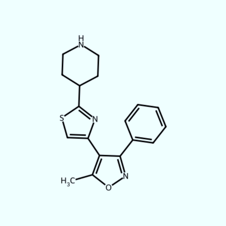 Cc1onc(-c2ccccc2)c1-c1csc(C2CCNCC2)n1